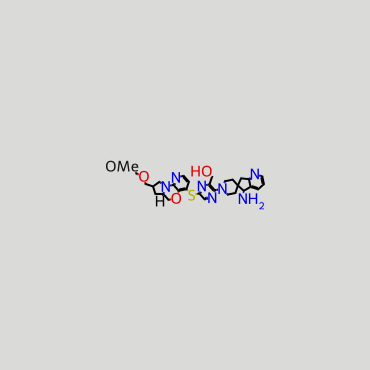 COCOCC1C[C@@H]2COc3c(Sc4cnc(N5CCC6(CC5)Cc5ncccc5[C@H]6N)c(CO)n4)ccnc3N2C1